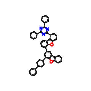 c1ccc(-c2ccc(-c3cc(-c4cccc5c4oc4cccc(-c6nc(-c7ccccc7)nc(-c7ccccc7)n6)c45)cc4c3oc3ccccc34)cc2)cc1